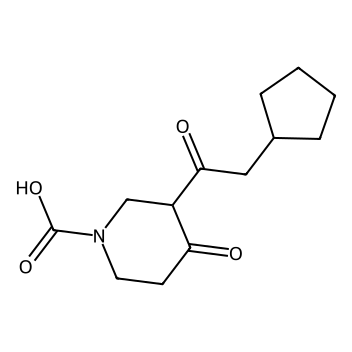 O=C1CCN(C(=O)O)CC1C(=O)CC1CCCC1